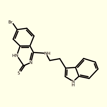 S=c1nc(NCCc2c[nH]c3ccccc23)c2ccc(Br)cc2[nH]1